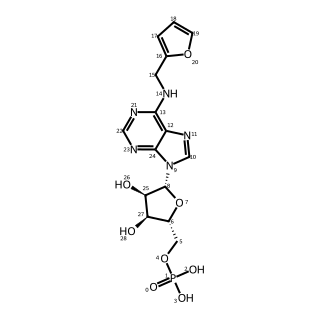 O=P(O)(O)OC[C@H]1O[C@@H](n2cnc3c(NCc4ccco4)ncnc32)[C@H](O)[C@@H]1O